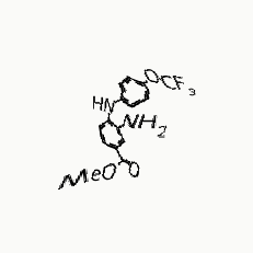 COC(=O)c1ccc(Nc2ccc(OC(F)(F)F)cc2)c(N)c1